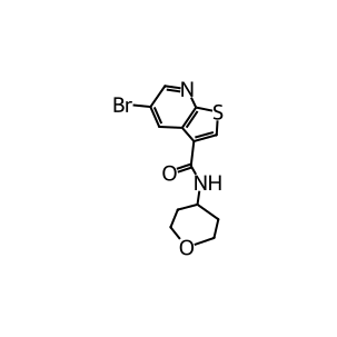 O=C(NC1CCOCC1)c1csc2ncc(Br)cc12